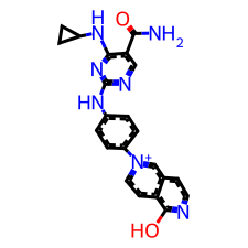 NC(=O)c1cnc(Nc2ccc(-[n+]3ccc4c(O)nccc4c3)cc2)nc1NC1CC1